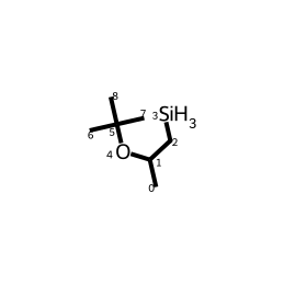 CC(C[SiH3])OC(C)(C)C